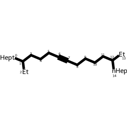 [CH2]CCCCCCC(CC)CCCC#CCCCCC(CC)CCCCCC[CH2]